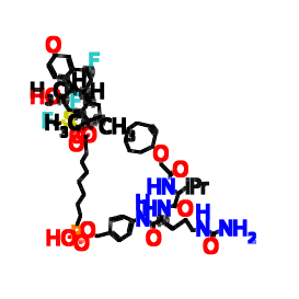 CC(C)C(NC(=O)COC1C#CCCCCC1)C(=O)N[C@@H](CCCNC(N)=O)C(=O)Nc1ccc(COP(=O)(O)CCCCCCCCC(=O)O[C@]2(C(=O)SCF)[C@H](C)C[C@H]3[C@@H]4C[C@H](F)C5=CC(=O)C=C[C@]5(C)[C@@]4(F)[C@@H](O)C[C@@]32C)cc1